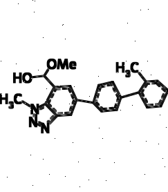 COC(O)c1cc(-c2ccc(-c3ccccc3C)cc2)cc2nnn(C)c12